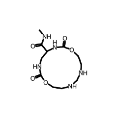 CNC(=O)C1CNC(=O)OCCNCNCCOC(=O)N1